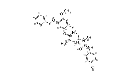 COc1cc(CN(CCN(S)C(=O)Nc2ccc(Cl)cc2)C(=O)C(C)C)ccc1OCc1ccccc1